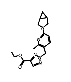 CCOC(=O)c1cnn(Cc2ccc(N3CC4CC4C3)nc2C)n1